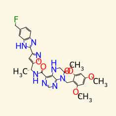 COc1cc(OC)c(CN2C(=O)CNc3c(C(=O)N[C@H](C)c4cc(-c5nc6ccc(CF)cc6[nH]5)no4)ncnc32)c(OC)c1